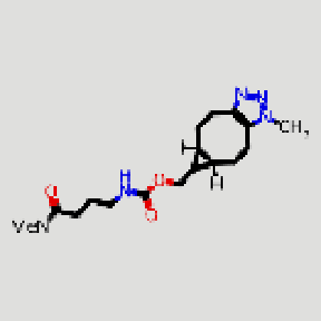 CNC(=O)CCCNC(=O)OCC1[C@H]2CCc3c(nnn3C)CC[C@@H]12